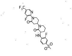 CS(=O)(=O)c1ccc(NC2CCCN(C3CCN(c4ncc(C(F)(F)F)cc4F)C(=O)C3)C2=O)c(F)c1